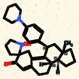 C[C@@]12CCC[C@H]1[C@@H]1CCC3=CC(=O)C4(CCCN4O)CC3=C1[C@@H](c1ccc(N3CCCCC3)cc1)C2